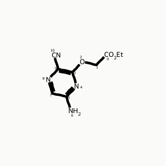 CCOC(=O)COc1nc(N)cnc1C#N